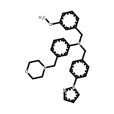 COc1cccc(CN(Cc2ccc(-n3cccn3)cc2)c2cccc(CN3CCOCC3)c2)c1